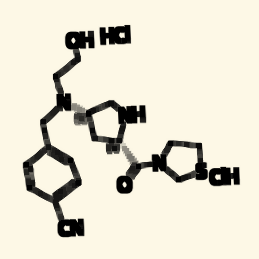 Cl.Cl.N#Cc1ccc(CN(CCO)[C@@H]2CN[C@H](C(=O)N3CCSC3)C2)cc1